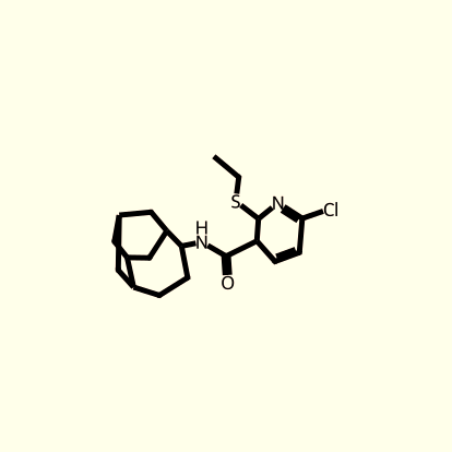 CCSC1N=C(Cl)C=CC1C(=O)NC1CCC2CC3CC2CC1C3